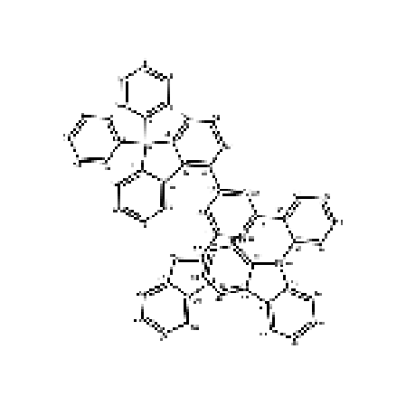 c1ccc(C2(c3ccccc3)c3ccccc3-c3c(-c4cc(-c5cc6ccccc6o5)nc(-c5ccccc5-n5c6ccccc6c6ccccc65)n4)cccc32)cc1